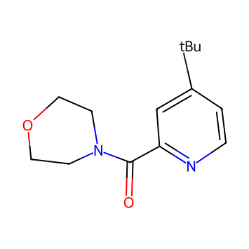 CC(C)(C)c1ccnc(C(=O)N2CCOCC2)c1